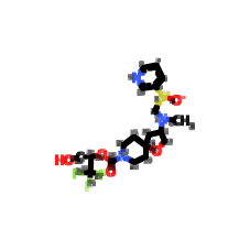 CN(C[S+]([O-])c1cccnc1)C1COC2(CCN(C(=O)O[C@H](CO)C(F)(F)F)CC2)C1